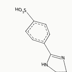 O=S(=O)(O)c1ccc(C2=NCCN2)cc1